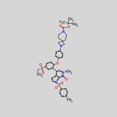 CCS(=O)(=O)c1ccc(Oc2ccc(N3CC4(CCN(C(=O)OC(C)(C)C)CC4)C3)cc2)c(-c2cn(C)c(=O)c3c2ccn3S(=O)(=O)c2ccc(C)cc2)c1